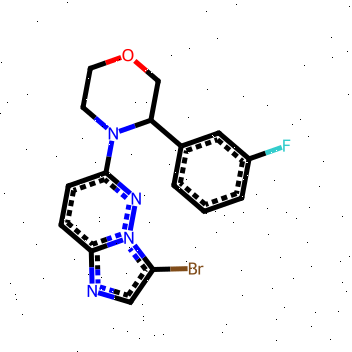 Fc1cccc(C2COCCN2c2ccc3ncc(Br)n3n2)c1